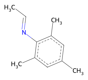 CC=Nc1c(C)cc(C)cc1C